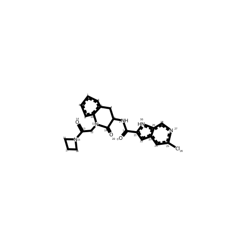 O=C(NC1Cc2ccccc2N(CC(=O)N2CCC2)C1=O)c1cc2cc(Cl)ncc2[nH]1